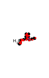 Cc1ccc(-c2ccc(-c3ccc(N(c4cccc(-c5ccc(-c6ccccc6)cc5)c4)c4ccc5c(c4)C(c4ccccc4)(c4ccccc4)c4ccccc4-5)cc3)cc2)cc1-c1ccc2ccccc2c1